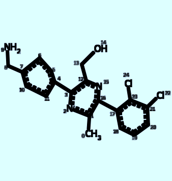 Cc1nc(-c2ccc(CN)cc2)c(CO)nc1-c1cccc(Cl)c1Cl